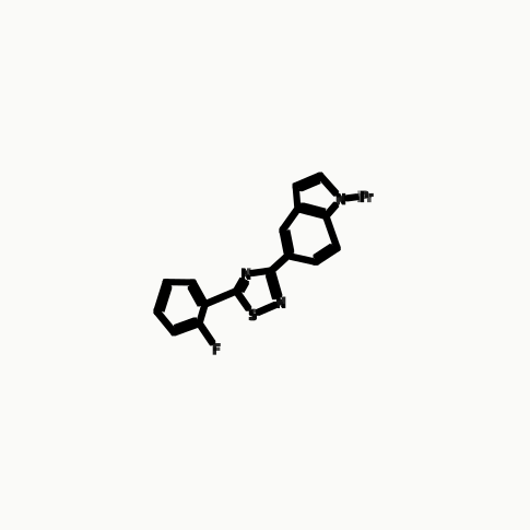 CC(C)n1ccc2cc(-c3nsc(-c4ccccc4F)n3)ccc21